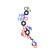 O=C(Nc1ccc(Oc2ncnc3cc(OCCCN4CCOCC4)c4c(c23)OCCO4)cc1)Nc1ccc(F)c(C(F)(F)F)c1